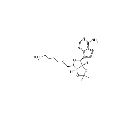 CC1(C)O[C@@H]2[C@@H](O1)[C@@H](CSCCCCC(=O)O)O[C@H]2n1cnc2c(N)ncnc21